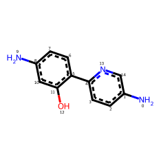 Nc1ccc(-c2ccc(N)cc2O)nc1